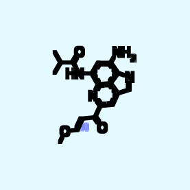 CO/C=C/C(=O)c1cc2c3c(c(N)cc(NC(=O)C(C)C)c3n1)N=C2